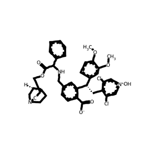 COc1ccc([C@H](Cc2c(Cl)c[n+](O)cc2Cl)c2cc(CNC(C(=O)OC[C@@H]3CN4CCC3CC4)c3ccccc3)ccc2C(=O)[O-])cc1OC